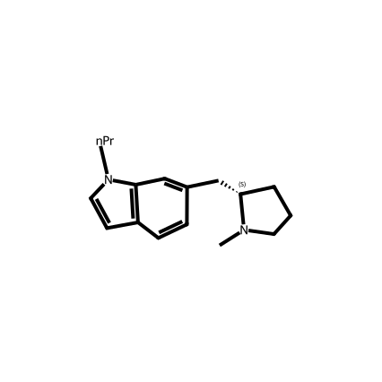 CCCn1ccc2ccc(C[C@@H]3CCCN3C)cc21